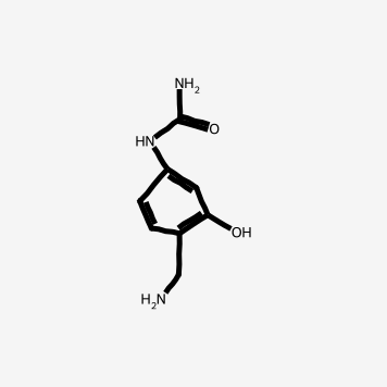 NCc1ccc(NC(N)=O)cc1O